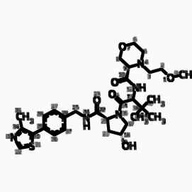 COCCN1CCOC[C@@H]1C(=O)NC(C(=O)N1C[C@H](O)C[C@H]1C(=O)NCc1ccc(-c2scnc2C)cc1)C(C)(C)C